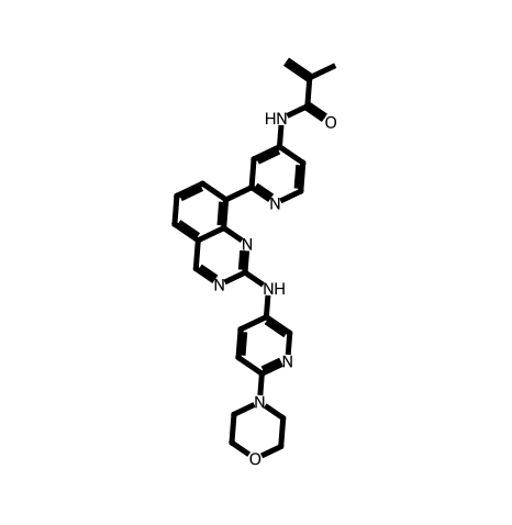 C=C(C)C(=O)Nc1ccnc(-c2cccc3cnc(Nc4ccc(N5CCOCC5)nc4)nc23)c1